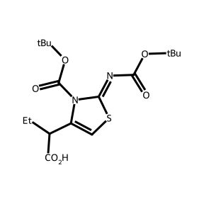 CCC(C(=O)O)c1cs/c(=N\C(=O)OC(C)(C)C)n1C(=O)OC(C)(C)C